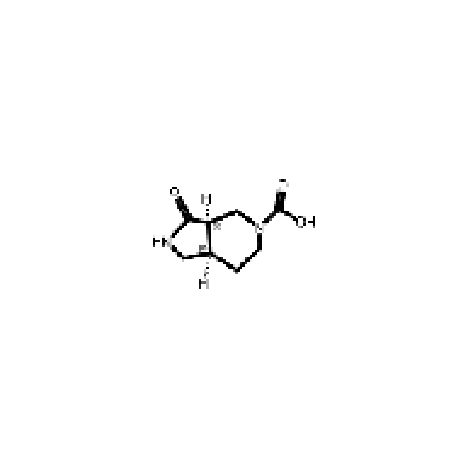 O=C1NC[C@@H]2CCN(C(=O)O)C[C@H]12